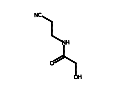 N#CCCNC(=O)CO